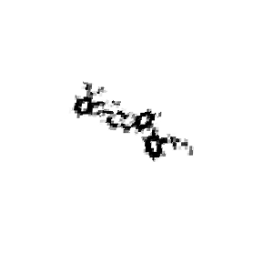 COc1ccccc1Oc1cccc(CN2CCN(S(=O)(=O)Cc3ccccc3[N+](=O)[O-])CC2)c1